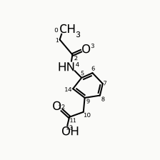 CCC(=O)Nc1cccc(CC(=O)O)c1